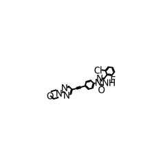 O=c1[nH]c(-c2c(F)cccc2Cl)nn1-c1ccc(C#Cc2cnc(N3CCOCC3)nc2)cc1